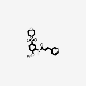 CCOc1ccc(S(=O)(=O)N2CCOCC2)cc1NC(=O)C=Cc1cccnc1